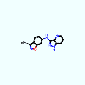 CCCc1noc2cc(Nc3n[nH]c4cccnc34)ccc12